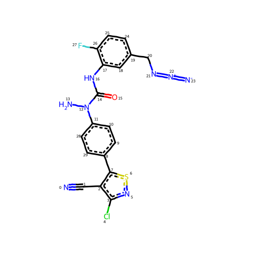 N#Cc1c(Cl)nsc1-c1ccc(N(N)C(=O)Nc2cc(CN=[N+]=[N-])ccc2F)cc1